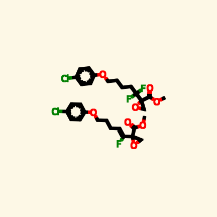 COC(=O)C1(C(F)(F)CCCCOc2ccc(Cl)cc2)CO1.COC(=O)C1(C(F)=CCCCOc2ccc(Cl)cc2)CO1